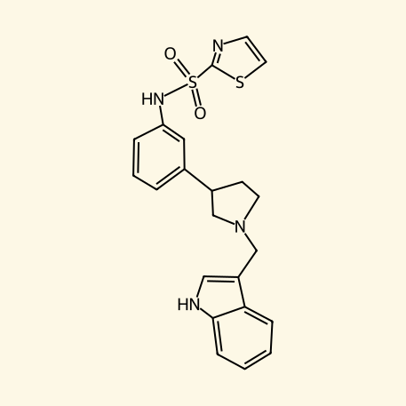 O=S(=O)(Nc1cccc(C2CCN(Cc3c[nH]c4ccccc34)C2)c1)c1nccs1